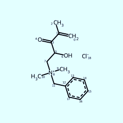 C=C(C)C(=O)C(O)C[N+](C)(C)Cc1ccccc1.[Cl-]